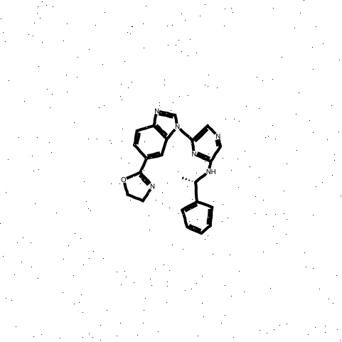 C[C@H](Nc1cncc(-n2cnc3ccc(C4=NCCO4)cc32)n1)c1ccccc1